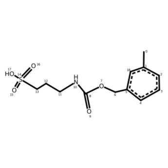 Cc1cccc(COC(=O)NCCCS(=O)(=O)O)c1